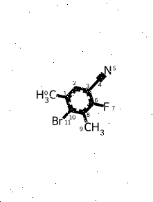 Cc1cc(C#N)c(F)c(C)c1Br